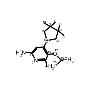 Cc1nc(N)cc(B2CC(C)(C)C(C)(C)C2)c1OC(P)P